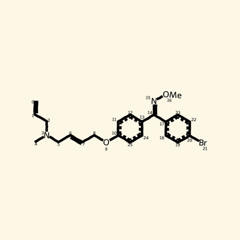 C=CCN(C)C/C=C/COc1ccc(/C(=N/OC)c2ccc(Br)cc2)cc1